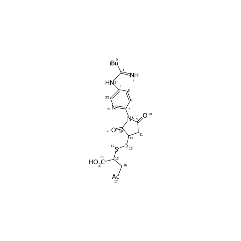 CCC(C)C(=N)Nc1ccc(N2C(=O)CC(SSC(CC(C)=O)C(=O)O)C2=O)nc1